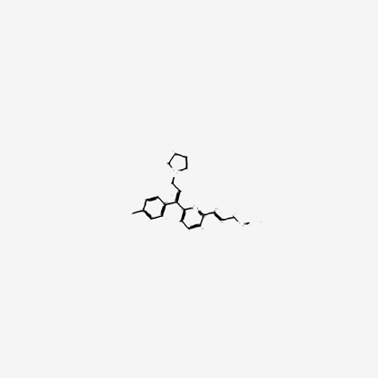 Cc1ccc(/C(=C\CN2CCCC2)c2cccc(/C=C/CNC(C)(C)C)n2)cc1